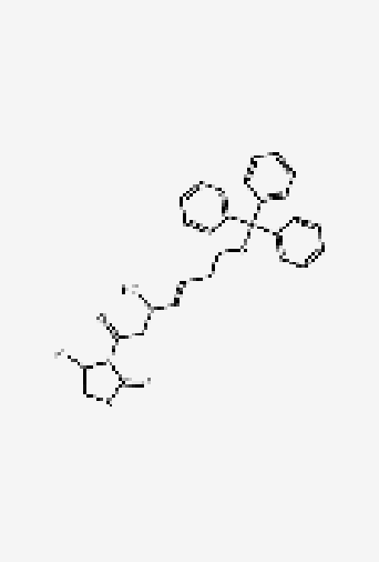 CC(C)C1CSC(=S)N1C(=O)CC(O)C=CCCSC(c1ccccc1)(c1ccccc1)c1ccccc1